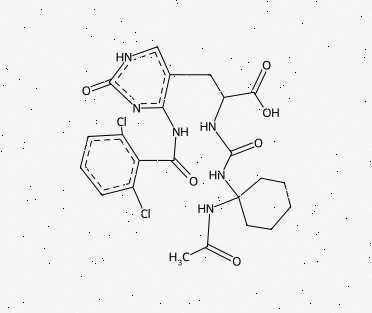 CC(=O)NC1(NC(=O)NC(Cc2c[nH]c(=O)nc2NC(=O)c2c(Cl)cccc2Cl)C(=O)O)CCCCC1